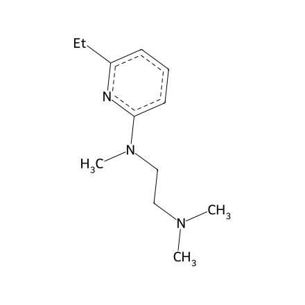 CCc1cccc(N(C)CCN(C)C)n1